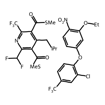 CCOc1cc(Oc2ccc(C(F)(F)F)cc2Cl)ccc1[N+](=O)[O-].CSC(=O)c1c(C(F)F)nc(C(F)(F)F)c(C(=O)SC)c1CC(C)C